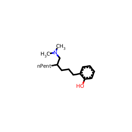 CCCCCC(CCCc1ccccc1O)CN(C)C